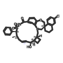 C[C@H]1C/C=C/[C@H](O)[C@@H]2CC[C@H]2CN2C[C@@]3(CCCc4cc(Cl)ccc43)COc3ccc(cc32)C(=O)NS(=O)(=O)[C@@H]1c1ccccc1